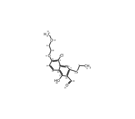 CCSc1nc2c(Cl)c(OCCOC)ccc2c(O)c1C=O